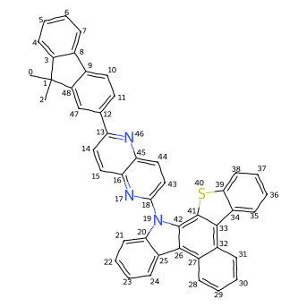 CC1(C)c2ccccc2-c2ccc(-c3ccc4nc(-n5c6ccccc6c6c7ccccc7c7c8ccccc8sc7c65)ccc4n3)cc21